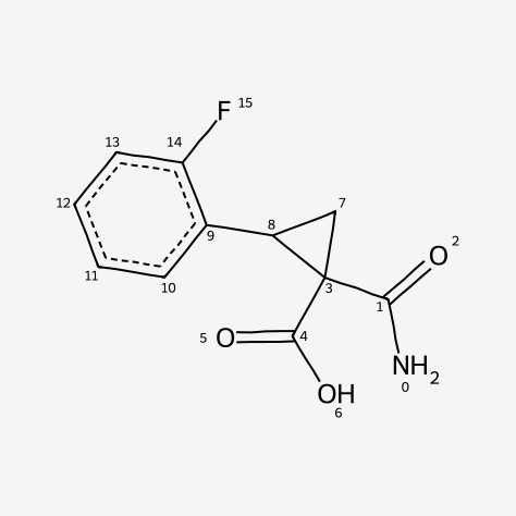 NC(=O)C1(C(=O)O)CC1c1ccccc1F